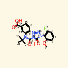 COc1cccc(F)c1-n1nnn(C(O)N(c2cccc(C(=O)O)c2)C(C)(C)C)c1=O